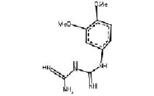 COc1ccc(NC(=N)NC(=N)N)cc1OC